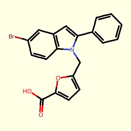 O=C(O)c1ccc(Cn2c(-c3ccccc3)cc3cc(Br)ccc32)o1